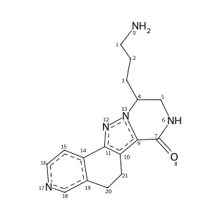 NCCCC1CNC(=O)c2c3c(nn21)-c1ccncc1CC3